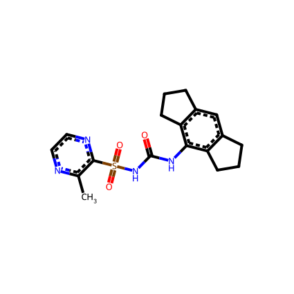 Cc1nccnc1S(=O)(=O)NC(=O)Nc1c2c(cc3c1CCC3)CCC2